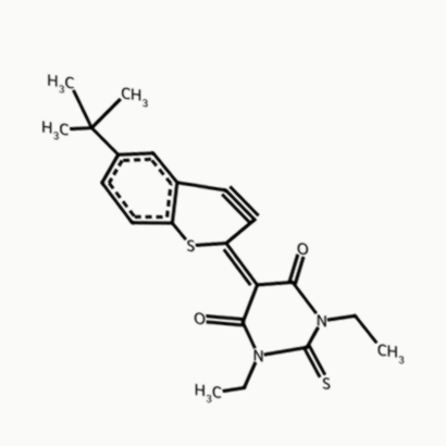 CCN1C(=O)C(=C2C#Cc3cc(C(C)(C)C)ccc3S2)C(=O)N(CC)C1=S